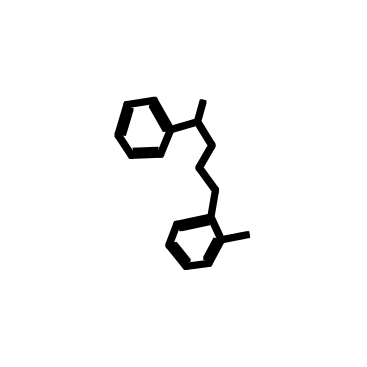 Cc1ccccc1CCCC(C)c1ccccc1